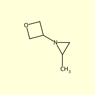 CC1CN1C1COC1